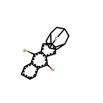 Brc1c2ccccc2c(Br)c2cc3c(cc12)C1CC2CC(C1)CC3C2